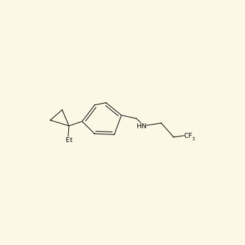 CCC1(c2ccc(CNCCC(F)(F)F)cc2)CC1